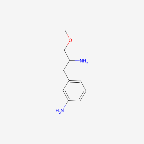 COCC(N)Cc1cccc(N)c1